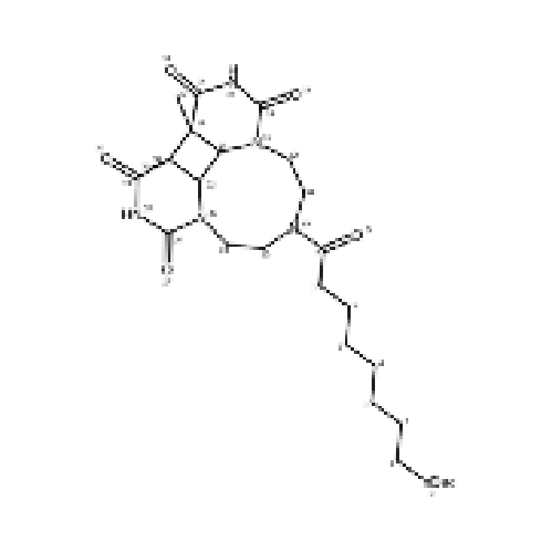 CCCCCCCCCCCCCCCCCC(=O)N1CCN2C(=O)NC(=O)C3(C)C2C2N(CC1)C(=O)NC(=O)C23C